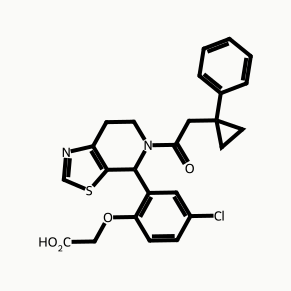 O=C(O)COc1ccc(Cl)cc1C1c2scnc2CCN1C(=O)CC1(c2ccccc2)CC1